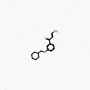 C/C=C/C(=O)c1cccc(OCC2CCCCC2)c1